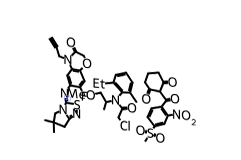 C#CCN1C(=O)COc2cc(F)c(/N=c3\snc4n3CC(C)(C)C4)cc21.CCc1cccc(C)c1N(C(=O)CCl)C(C)COC.CS(=O)(=O)c1ccc(C(=O)C2C(=O)CCCC2=O)c([N+](=O)[O-])c1